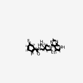 CCc1c[nH]c2ncnc(N3CC[C@](N)(CNC(=O)c4cc(F)ccc4F)C3)c12